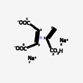 C=CC(=O)O.O=C([O-])/C=C\C(=O)[O-].[Na+].[Na+]